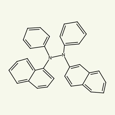 c1ccc(N(c2ccc3ccccc3c2)N(c2ccccc2)c2cccc3ccccc23)cc1